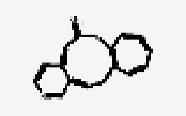 C=C1/C=c2/ccnc/c2=C/CC2=C(C=C=CC=C2)S1